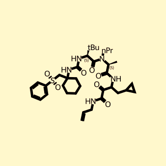 C=CCNC(=O)C(=O)C(CC1CC1)NC(=O)[C@H](C)N(CCC)C(=O)[C@@H](NC(=O)NC1(CS(=O)(=O)c2ccccc2)CCCCC1)C(C)(C)C